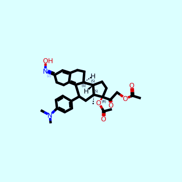 CC(=O)OCC(=O)[C@@]1(OC(C)=O)CC[C@H]2[C@@H]3CCC4=C/C(=N\O)CCC4=C3C(c3ccc(N(C)C)cc3)C[C@@]21C